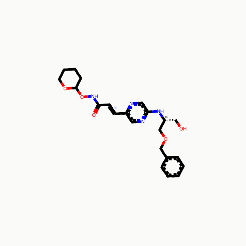 O=C(/C=C/c1cnc(N[C@H](CO)COCc2ccccc2)cn1)NOC1CCCCO1